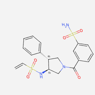 C=CS(=O)(=O)N[C@@H]1CN(C(=O)c2cccc(S(N)(=O)=O)c2)C[C@H]1c1ccccc1